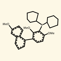 COc1ccc2c(-c3ccc(OC)c(P(C4CCCCC4)C4CCCCC4)c3OC)cccc2c1